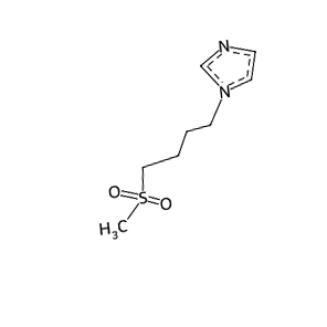 CS(=O)(=O)CCCCn1ccnc1